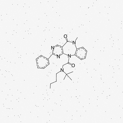 CCCCN(CC(=O)N1c2ccccc2N(C)C(=O)c2cnc(-c3ccccc3)nc21)C(C)(C)C